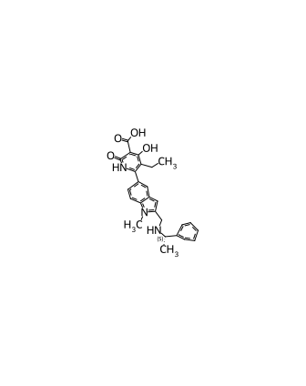 CCc1c(-c2ccc3c(c2)cc(CN[C@@H](C)c2ccccc2)n3C)[nH]c(=O)c(C(=O)O)c1O